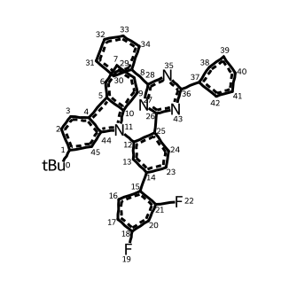 CC(C)(C)c1ccc2c3ccccc3n(-c3cc(-c4ccc(F)cc4F)ccc3-c3nc(-c4ccccc4)nc(-c4ccccc4)n3)c2c1